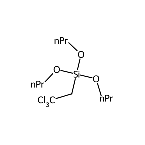 CCCO[Si](CC(Cl)(Cl)Cl)(OCCC)OCCC